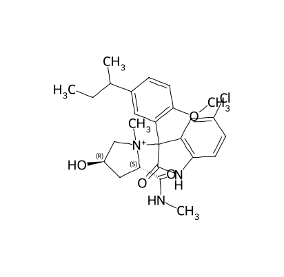 CCC(C)c1ccc(OC)c(C2([N+]3(C)C[C@H](O)C[C@H]3C(=O)NC)C(=O)Nc3ccc(Cl)cc32)c1